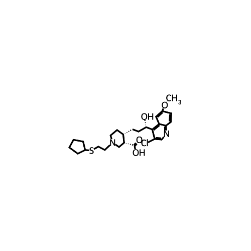 COc1ccc2ncc(Cl)c([C@@H](O)CC[C@H]3CCN(CCSC4CCCC4)C[C@H]3C(=O)O)c2c1